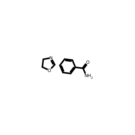 C1=NCCO1.NC(=O)c1ccccc1